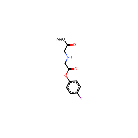 COC(=O)CNCC(=O)Oc1ccc(I)cc1